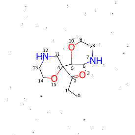 CCC(=O)C1(C2CNCCO2)CNCCO1